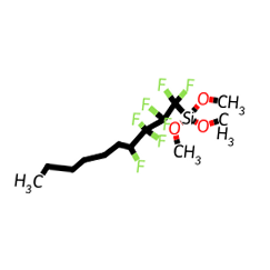 CCCCCCC(F)C(F)(F)C(F)(F)C(F)(F)[Si](OC)(OC)OC